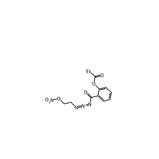 CCC(=O)Oc1ccccc1C(=O)N=[N+]=NCCO[N+](=O)[O-]